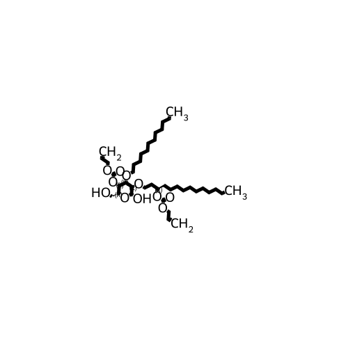 C=CCOC(=O)O[C@H](CCCCCCCCCCC)CCO[C@H]1C(O)O[C@H](CO)[C@@H](OC(=O)OCC=C)[C@@H]1OCCCCCCCCCCCC